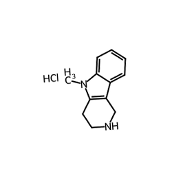 Cl.Cn1c2c(c3ccccc31)CNCC2